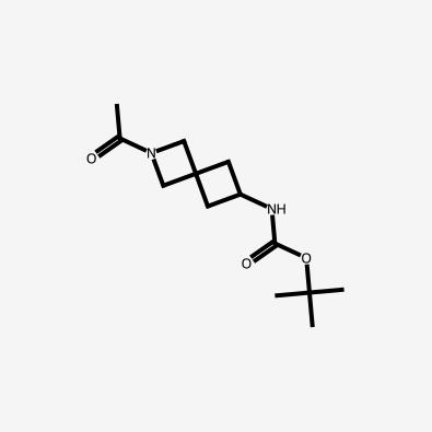 CC(=O)N1CC2(CC(NC(=O)OC(C)(C)C)C2)C1